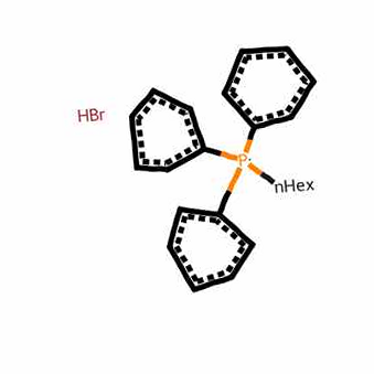 Br.CCCCCC[P](c1ccccc1)(c1ccccc1)c1ccccc1